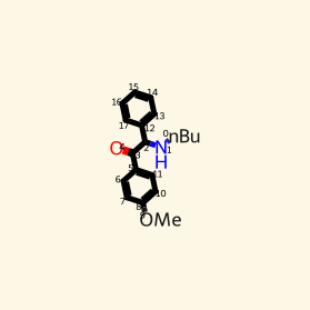 CCCCNC(C(=O)c1ccc(OC)cc1)c1ccccc1